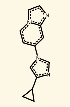 c1cn2ccc(-n3cnc(C4CC4)c3)cc2n1